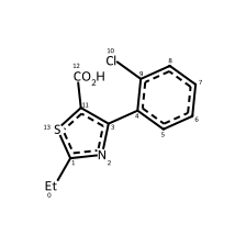 CCc1nc(-c2ccccc2Cl)c(C(=O)O)s1